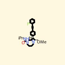 COC[C@H]1[C@H](c2ccc(C#Cc3ccccc3F)cc2)[C@@H]2CN(C(=O)NC(C)C)CCCCN12